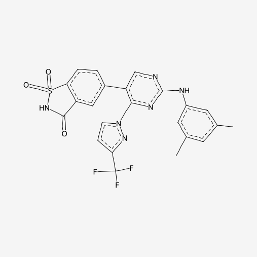 Cc1cc(C)cc(Nc2ncc(-c3ccc4c(c3)C(=O)NS4(=O)=O)c(-n3ccc(C(F)(F)F)n3)n2)c1